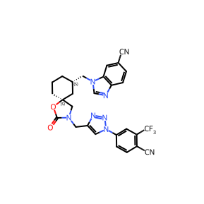 N#Cc1ccc2ncn(C[C@H]3CCC[C@]4(C3)CN(Cc3cn(-c5ccc(C#N)c(C(F)(F)F)c5)nn3)C(=O)O4)c2c1